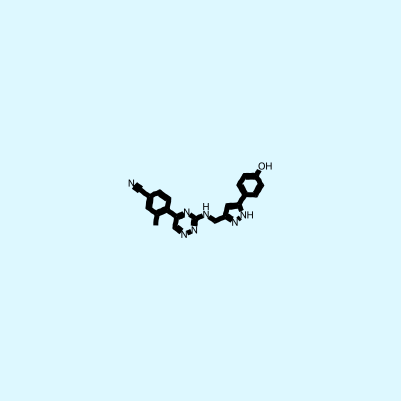 Cc1cc(C#N)ccc1-c1cnnc(NCc2cc(-c3ccc(O)cc3)[nH]n2)n1